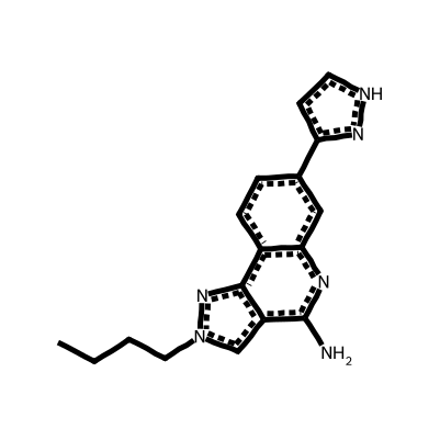 CCCCn1cc2c(N)nc3cc(-c4cc[nH]n4)ccc3c2n1